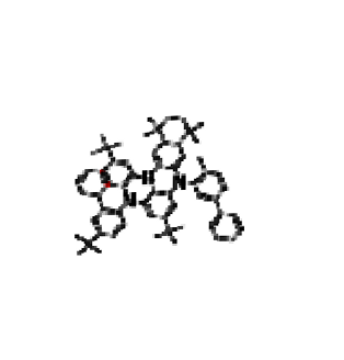 Cc1ccc(-c2ccccc2)cc1N1c2cc3c(cc2B2c4cc(C(C)(C)C)ccc4N(c4ccc(C(C)(C)C)cc4-c4ccccc4)c4cc(C(C)(C)C)cc1c42)C(C)(C)CCC3(C)C